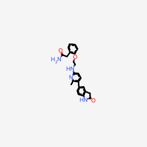 Cc1nc(NCCOc2ccccc2CC(N)=O)ccc1-c1ccc2c(c1)CC(=O)N2